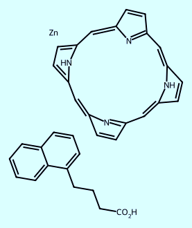 C1=Cc2cc3ccc(cc4nc(cc5ccc(cc1n2)[nH]5)C=C4)[nH]3.O=C(O)CCCc1cccc2ccccc12.[Zn]